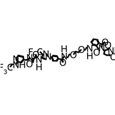 O=C1CCC(N2C(=O)c3cccc(NCCOCCOCCNC(=O)c4ccc(-n5cc(NC(=O)c6coc(-c7ccnc(NCC(F)(F)F)c7)n6)c(C(F)(F)F)n5)cc4)c3C2=O)C(=O)N1